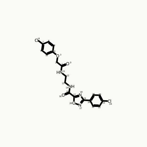 O=C(COc1ccc(Cl)cc1)NCCNC(=O)c1nc(-c2ccc(Cl)cc2)no1